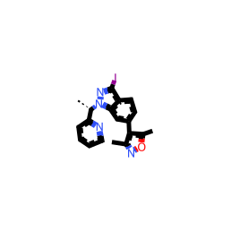 Cc1noc(C)c1-c1ccc2c(I)nn([C@@H](C)c3ccccn3)c2c1